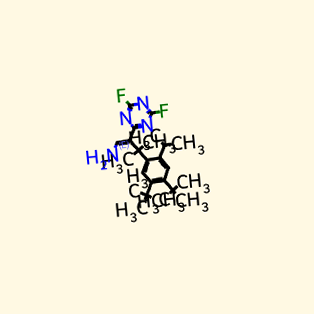 CC(C)c1cc(C(C)(C)C)c(C(C)(C)C)cc1C(C)(C)/C(=C\N)c1nc(F)nc(F)n1